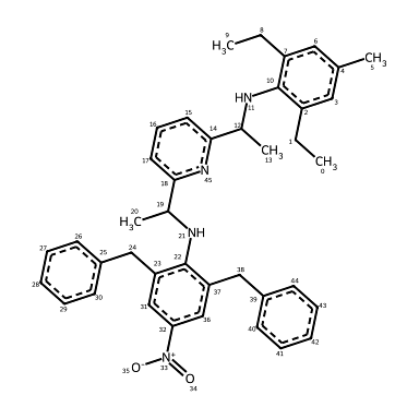 CCc1cc(C)cc(CC)c1NC(C)c1cccc(C(C)Nc2c(Cc3ccccc3)cc([N+](=O)[O-])cc2Cc2ccccc2)n1